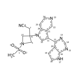 CS(=O)(=O)N1CC(CC#N)(n2cc(-c3ncnc4[nH]ccc34)c3cnccc32)C1